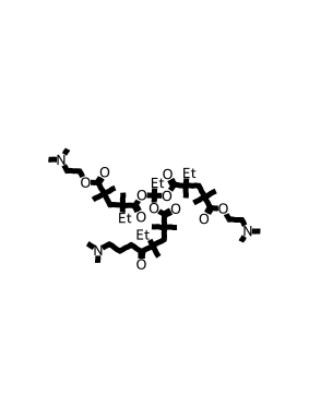 CCC(OC(=O)C(C)(C)CC(C)(CC)C(=O)CCCN(C)C)(OC(=O)C(C)(CC)CC(C)(C)C(=O)OCCN(C)C)OC(=O)C(C)(CC)CC(C)(C)C(=O)OCCN(C)C